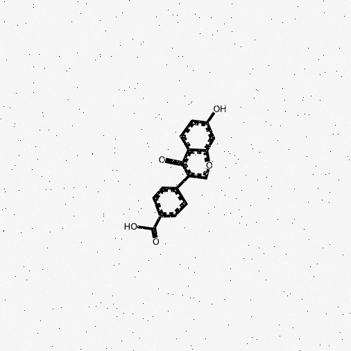 O=C(O)c1ccc(-c2coc3cc(O)ccc3c2=O)cc1